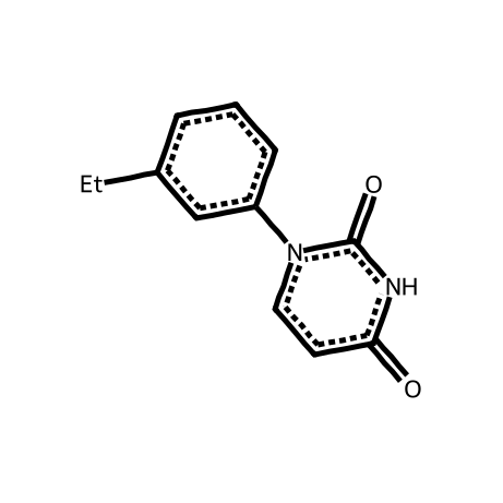 CCc1cccc(-n2ccc(=O)[nH]c2=O)c1